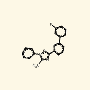 Cc1nc(-c2cccc(-c3cccc(F)c3)c2)nn1-c1ccccc1